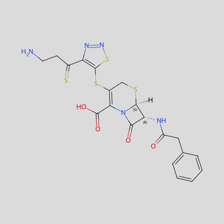 NCCC(=S)c1nnsc1SC1=C(C(=O)O)N2C(=O)[C@@H](NC(=O)Cc3ccccc3)[C@@H]2SC1